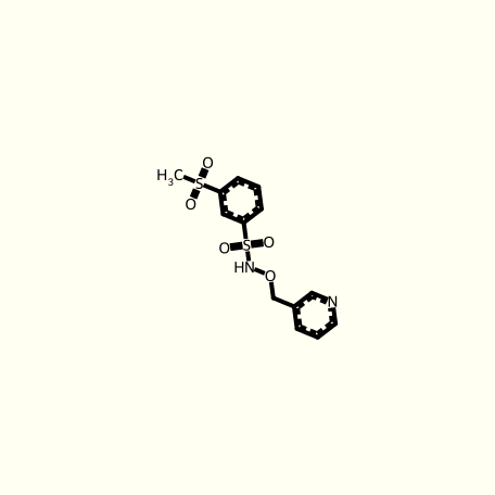 CS(=O)(=O)c1cccc(S(=O)(=O)NOCc2cccnc2)c1